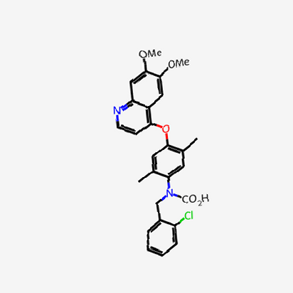 COc1cc2nccc(Oc3cc(C)c(N(Cc4ccccc4Cl)C(=O)O)cc3C)c2cc1OC